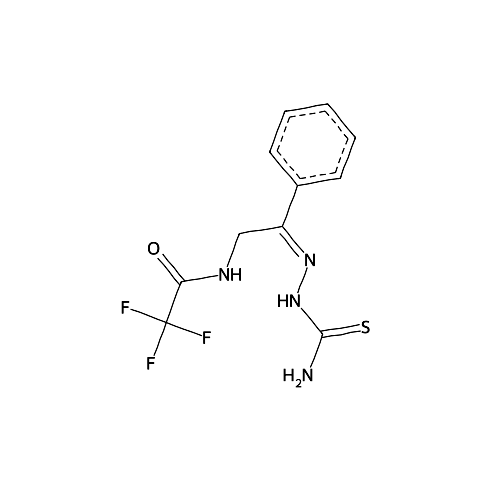 NC(=S)NN=C(CNC(=O)C(F)(F)F)c1ccccc1